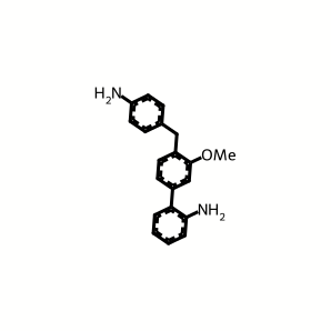 COc1cc(-c2ccccc2N)ccc1Cc1ccc(N)cc1